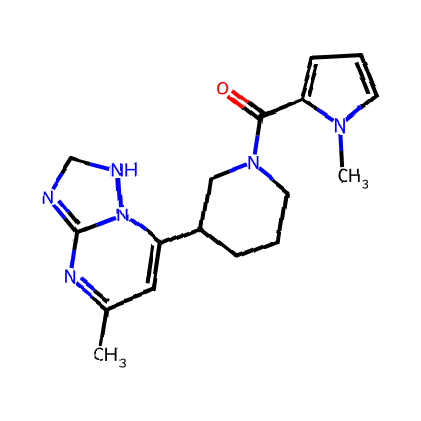 CC1=NC2=NCNN2C(C2CCCN(C(=O)c3cccn3C)C2)=C1